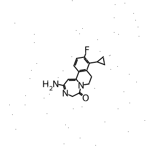 NC1=NCC(=O)N2CCc3c(ccc(F)c3C3CC3)C2=C1